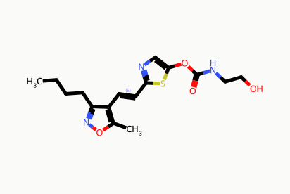 CCCCc1noc(C)c1/C=C/c1ncc(OC(=O)NCCO)s1